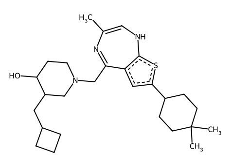 CC1=CNc2sc(C3CCC(C)(C)CC3)cc2C(CN2CCC(O)C(CC3CCC3)C2)=N1